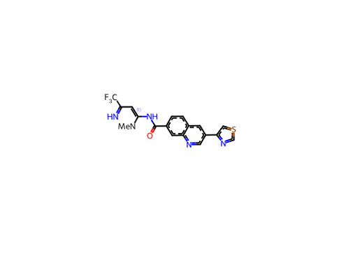 CN/C(=C\C(=N)C(F)(F)F)NC(=O)c1ccc2cc(-c3cscn3)cnc2c1